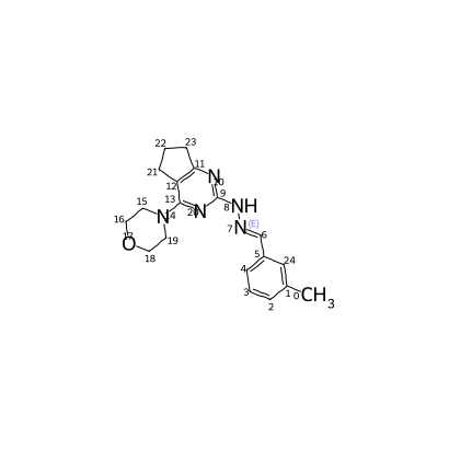 Cc1cccc(/C=N/Nc2nc3c(c(N4CCOCC4)n2)CCC3)c1